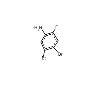 CCc1cc(N)c(F)cc1Br